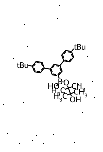 CC(C)(C)c1ccc(-c2cc(B(O)OC(C)(C)C(C)(C)O)cc(-c3ccc(C(C)(C)C)cc3)c2)cc1